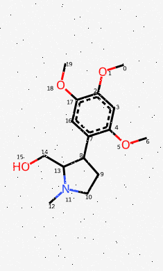 COc1cc(OC)c(C2CCN(C)C2CO)cc1OC